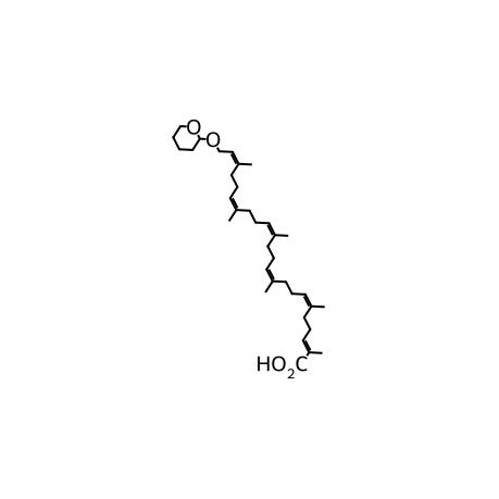 CC(=CCCC(C)=CCCC(C)=CCOC1CCCCO1)CCC=C(C)CCC=C(C)CCC=C(C)C(=O)O